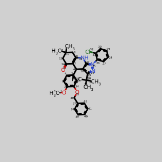 COc1ccc(C2C3=C(CC(C)(C)CC3=O)Nc3c2c(C(C)(C)C)nn3-c2ccccc2Cl)cc1OCc1ccccc1